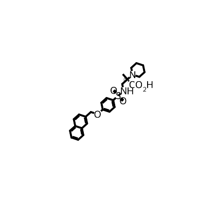 C[C@](CNS(=O)(=O)c1ccc(OCc2ccc3ccccc3c2)cc1)(C(=O)O)N1CCCCC1